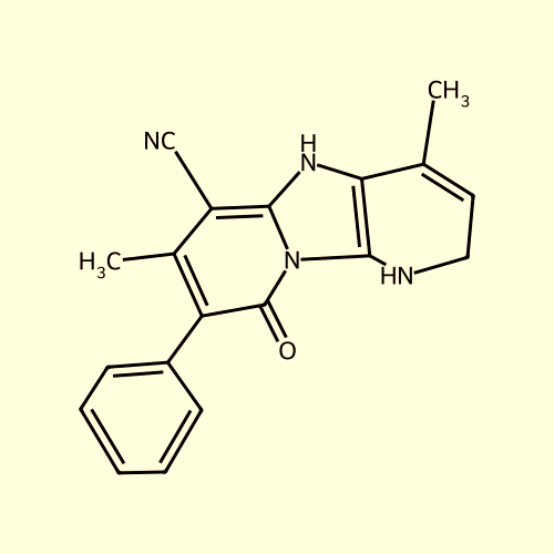 CC1=CCNc2c1[nH]c1c(C#N)c(C)c(-c3ccccc3)c(=O)n21